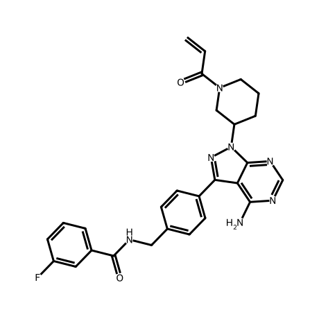 C=CC(=O)N1CCCC(n2nc(-c3ccc(CNC(=O)c4cccc(F)c4)cc3)c3c(N)ncnc32)C1